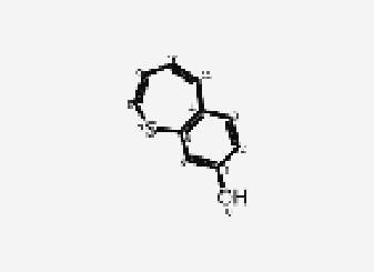 Oc1ccc2c(c1)SC=CC=C2